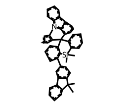 CC1(C)c2ccccc2-c2cc(-c3cccc4c3[Si](C)(C)c3ccccc3C43c4ccccc4-n4c5ccccc5c5cccc3c54)ccc21